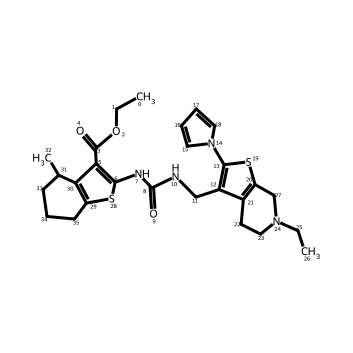 CCOC(=O)c1c(NC(=O)NCc2c(-n3cccc3)sc3c2CCN(CC)C3)sc2c1C(C)CCC2